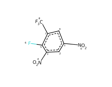 O=[N+]([O-])c1cc([N+](=O)[O-])c(F)c(C(F)(F)F)c1